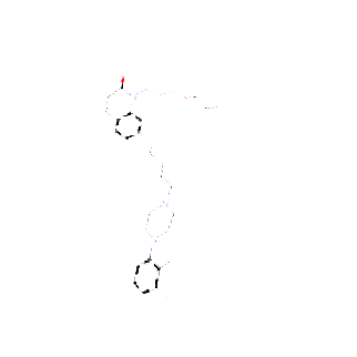 CCCCCCCCCCCCOCOCN1C(=O)CCc2ccc(OCCCCN3CCN(c4cccc(C)c4Cl)CC3)cc21